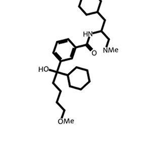 CNCC(CC1CCCCC1)NC(=O)c1cccc(C(O)(CCCCOC)C2CCCCC2)c1